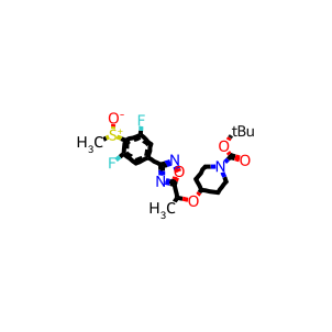 CC(OC1CCN(C(=O)OC(C)(C)C)CC1)c1nc(-c2cc(F)c([S+](C)[O-])c(F)c2)no1